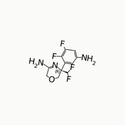 NC1=N[C@@](c2cc(N)cc(F)c2F)(C(F)F)COC1